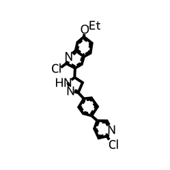 CCOc1ccc2cc(C3CC(c4ccc(-c5ccc(Cl)nc5)cc4)=NN3)c(Cl)nc2c1